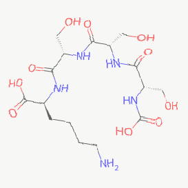 NCCCC[C@H](NC(=O)[C@H](CO)NC(=O)[C@H](CO)NC(=O)[C@H](CO)NC(=O)O)C(=O)O